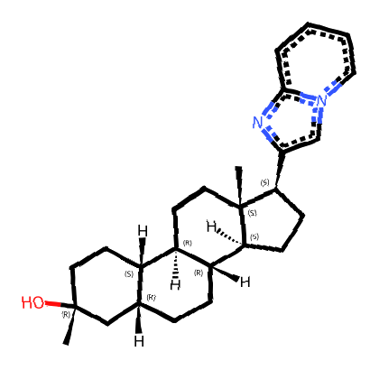 C[C@@]1(O)CC[C@H]2[C@H](CC[C@@H]3[C@@H]2CC[C@]2(C)[C@@H](c4cn5ccccc5n4)CC[C@@H]32)C1